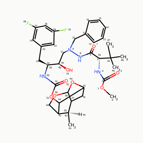 COC(=O)N[C@H](C(=O)NN(Cc1ccccc1)C[C@@H](O)[C@H](Cc1cc(F)cc(F)c1)NC(=O)OC1C2CC3C(OCC1[C@@H]3C)O2)C(C)(C)C